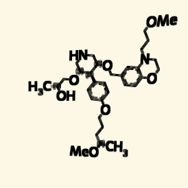 COCCCN1CCOc2ccc(CO[C@H]3CNC[C@@H](OC[C@@H](C)O)[C@@H]3c3ccc(OCCC[C@@H](C)OC)cc3)cc21